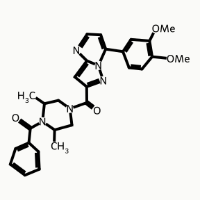 COc1ccc(-c2ccnc3cc(C(=O)N4CC(C)N(C(=O)c5ccccc5)C(C)C4)nn23)cc1OC